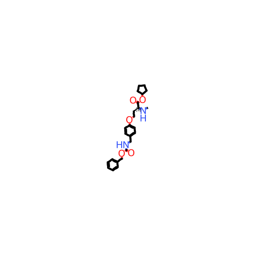 CN[C@@H](CCOc1ccc(CNC(=O)OCc2ccccc2)cc1)C(=O)OC1CCCC1